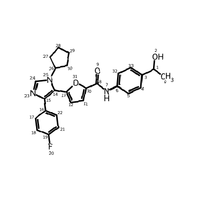 CC(O)c1ccc(NC(=O)c2ccc(-c3c(-c4ccc(F)cc4)ncn3C3CCCC3)o2)cc1